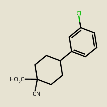 N#CC1(C(=O)O)CCC(c2cccc(Cl)c2)CC1